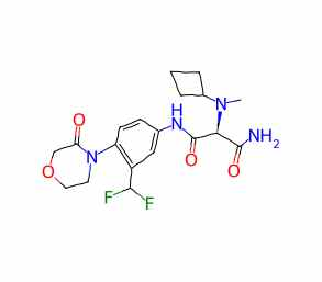 CN(C1CCC1)[C@@H](C(N)=O)C(=O)Nc1ccc(N2CCOCC2=O)c(C(F)F)c1